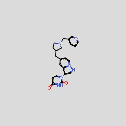 O=c1ccn(-c2cnn3ccc(CC4CCN(Cc5cccnc5)C4)cc23)c(=O)[nH]1